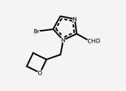 O=Cc1ncc(Br)n1CC1CCO1